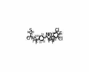 O=C(C1CSC1)N1CC(F)(c2ccc(C3=NOC(c4cc(Cl)c(F)c(Cl)c4)(C(F)(F)F)C3)cc2)C1